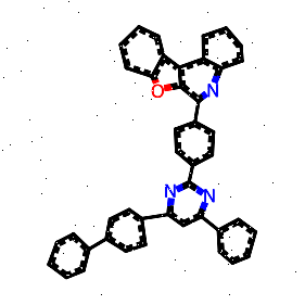 c1ccc(-c2ccc(-c3cc(-c4ccccc4)nc(-c4ccc(-c5nc6ccccc6c6c5oc5ccccc56)cc4)n3)cc2)cc1